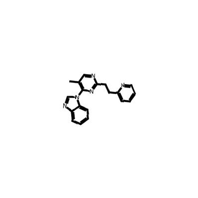 Cc1cnc(CCc2ccccn2)nc1-n1cnc2ccccc21